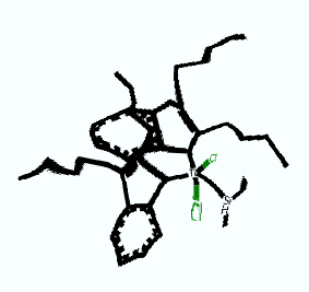 CCCCC1=C(CCCC)[CH]([Ti]([Cl])([Cl])([CH]2C(CCCC)=C(CCCC)c3ccccc32)[SiH](C)C)c2ccccc21